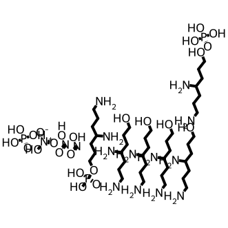 NCCCC(N)CCCO.NCCCC(N)CCCO.NCCCC(N)CCCO.NCCCC(N)CCCO.NCCCC(N)CCCO.NCCCC(N)CCCOP(=O)(O)O.O=NO.O=NO.O=P(O)(O)O.O=P(O)(O)O.O=[N+]([O-])O